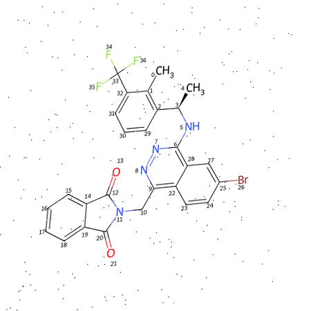 Cc1c([C@@H](C)Nc2nnc(CN3C(=O)c4ccccc4C3=O)c3ccc(Br)cc23)cccc1C(F)(F)F